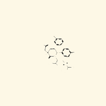 CC(C)[C@@H](CS(=O)(=O)C(C)C)N1C(=O)[C@](C)(CC(=O)O)C[C@H](c2cccc(Cl)c2)[C@H]1c1ccc(Cl)cc1